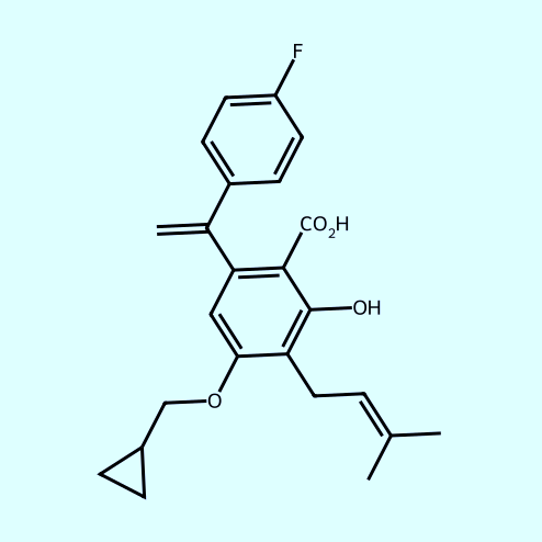 C=C(c1ccc(F)cc1)c1cc(OCC2CC2)c(CC=C(C)C)c(O)c1C(=O)O